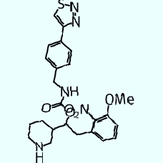 COc1cccc(CC(OC(=O)NCc2ccc(-c3csnn3)cc2)C2CCCNC2)c1[N+](=O)[O-]